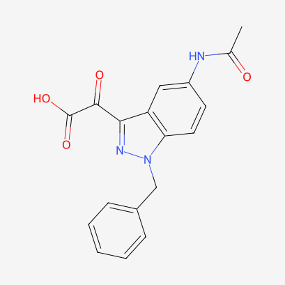 CC(=O)Nc1ccc2c(c1)c(C(=O)C(=O)O)nn2Cc1ccccc1